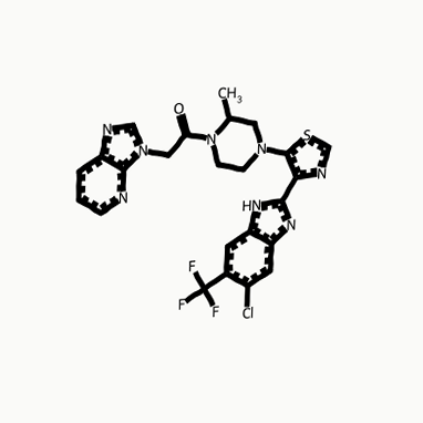 CC1CN(c2scnc2-c2nc3cc(Cl)c(C(F)(F)F)cc3[nH]2)CCN1C(=O)Cn1cnc2cccnc21